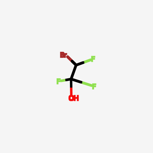 OC(F)(F)C(F)Br